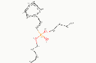 CCCCOP(=O)(C=Cc1ccccc1)OCCCC